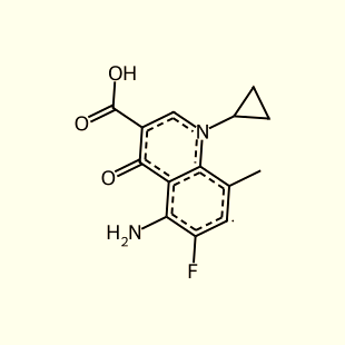 Cc1[c]c(F)c(N)c2c(=O)c(C(=O)O)cn(C3CC3)c12